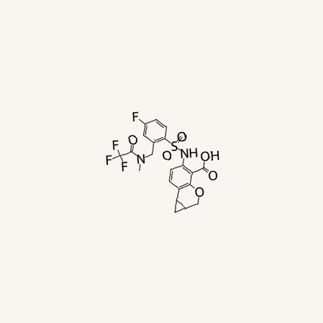 CN(Cc1cc(F)ccc1S(=O)(=O)Nc1ccc2c(c1C(=O)O)OCC1CC21)C(=O)C(F)(F)F